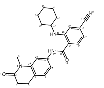 CN1C(=O)CCc2ccc(NC(=O)c3ccc(C#N)cc3NC3CCCCC3)cc21